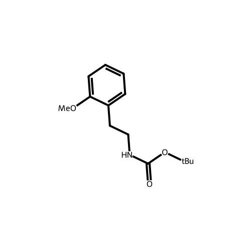 COc1ccccc1CCNC(=O)OC(C)(C)C